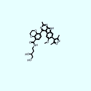 COc1cc2c(cc1-c1c(C)noc1C)[nH]c1nc(C)nc(-c3ccc(C(=O)NCCC(O)CO)c4c3OCCO4)c12